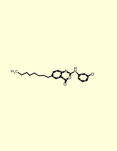 CCCCCCCCc1ccc2nc(Nc3cccc(Cl)c3)oc(=O)c2c1